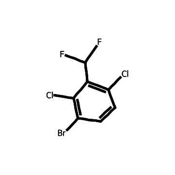 FC(F)c1c(Cl)ccc(Br)c1Cl